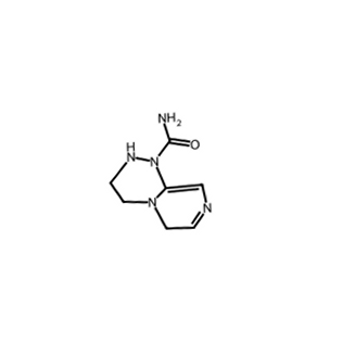 NC(=O)N1NCCN2CC=NC=C21